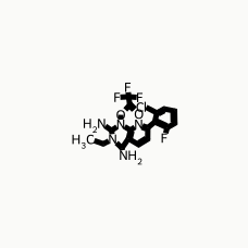 CCN1C(N)c2ccc(-c3c(F)cccc3Cl)nc2N(OC(=O)C(F)(F)F)C1N